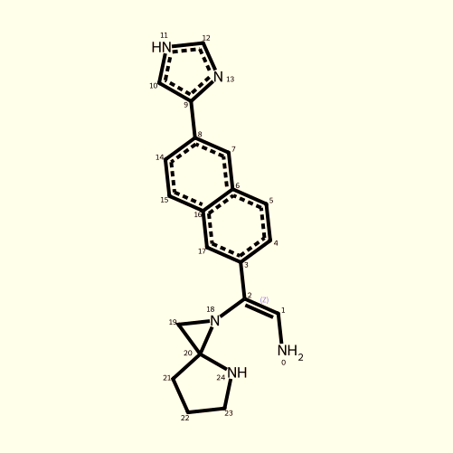 N/C=C(/c1ccc2cc(-c3c[nH]cn3)ccc2c1)N1CC12CCCN2